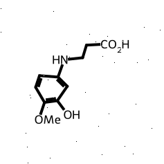 COc1ccc(NCCC(=O)O)cc1O